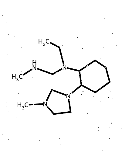 CCN(CNC)C1CCCCC1N1CCN(C)C1